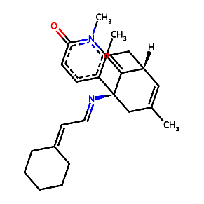 C/C=C1\[C@H]2C=C(C)C[C@]1(/N=C/C=C1CCCCC1)c1ccc(=O)n(C)c1C2